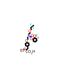 CCOC(Cc1ccc(OCCN(CCOCCC(C)(F)F)C(=O)Oc2ccccc2C(F)(F)F)cc1)C(=O)O